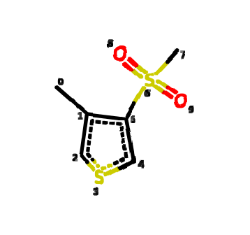 Cc1cscc1S(C)(=O)=O